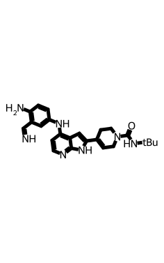 CC(C)(C)NC(=O)N1CC=C(c2cc3c(Nc4ccc(N)c(C=N)c4)ccnc3[nH]2)CC1